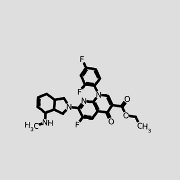 CCOC(=O)c1cn(-c2ccc(F)cc2F)c2nc(N3CC4CC=CC(NC)C4C3)c(F)cc2c1=O